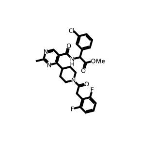 COC(=O)C(NC(=O)c1cnc(C)nc1C1CCN(C(=O)Cc2c(F)cccc2F)CC1)c1cccc(Cl)c1